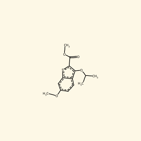 COC(=O)c1sc2cc(OC)ccc2c1OC(C)C